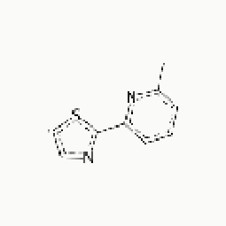 Cc1cccc(-c2nc[c]s2)n1